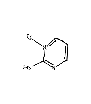 [O-][n+]1cccnc1S